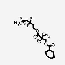 CCC(C)(COC(=O)C1CCCCC1)C(=O)OCCC(F)(F)CC(C)(F)F